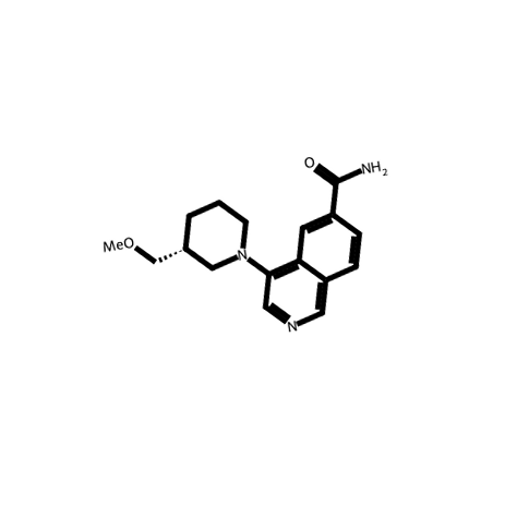 COC[C@@H]1CCCN(c2cncc3ccc(C(N)=O)cc23)C1